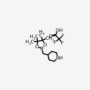 CC1(C)OB(CC2CCNCC2)OC1(C)C.O=C(O)C(F)(F)F